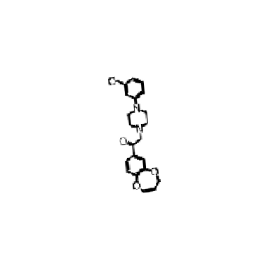 O=C(CN1CCN(c2cccc(Cl)c2)CC1)c1ccc2c(c1)OCC=CO2